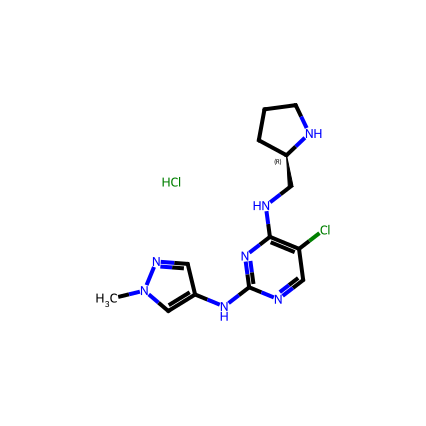 Cl.Cn1cc(Nc2ncc(Cl)c(NC[C@H]3CCCN3)n2)cn1